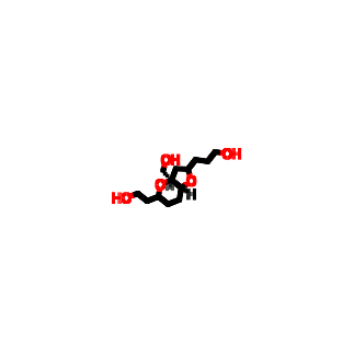 OCCCC1C[C@]2(CO)OC(CCO)CC[C@@H]2O1